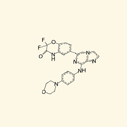 O=C1Nc2cc(-c3cn4ccnc4c(Nc4ccc(N5CCOCC5)cc4)n3)ccc2OC1(F)F